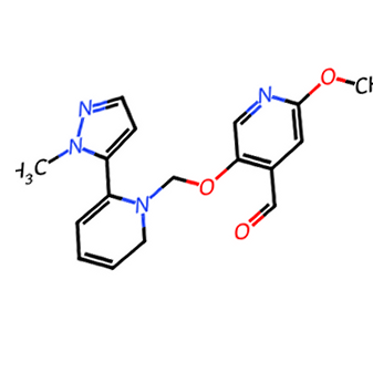 COc1cc(C=O)c(OCN2CC=CC=C2c2ccnn2C)cn1